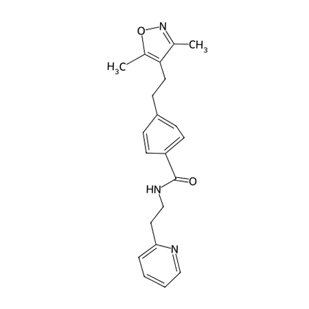 Cc1noc(C)c1CCc1ccc(C(=O)NCCc2ccccn2)cc1